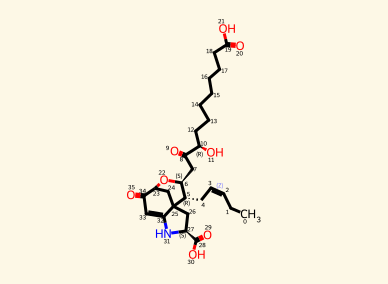 CC/C=C\C[C@H]1[C@H](CC(=O)[C@H](O)CCCCCCCC(=O)O)OC2CC13C[C@@H](C(=O)O)NC3=CC2=O